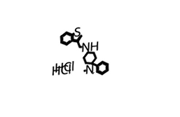 CN(C)C1(c2ccccc2)CCC(NCc2csc3ccccc23)CC1.Cl.Cl